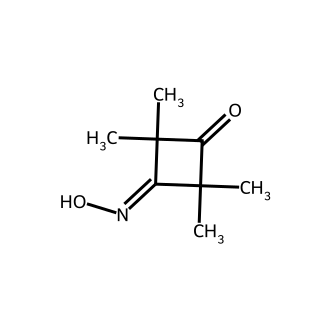 CC1(C)C(=O)C(C)(C)C1=NO